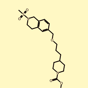 CC(C)OC(=O)N1CCC(CCCOCc2ccc3c(c2)CCN(S(C)(=O)=O)C3)CC1